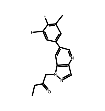 CCC(=O)Cn1ncc2ncc(-c3cc(C)c(F)c(F)c3)cc21